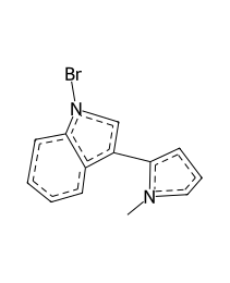 Cn1cccc1-c1cn(Br)c2ccccc12